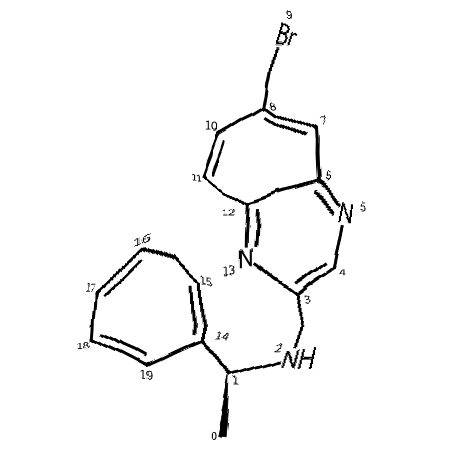 C[C@H](Nc1cnc2cc(Br)ccc2n1)c1ccccc1